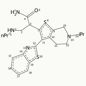 CCCNCC(C(N)=O)c1sc2c(c1-c1nc3ccccc3s1)CCN(C(C)C)C2